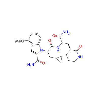 COc1cccc2c1cc(C(N)=O)n2C(CC1CC1)C(=O)NC(C[C@@H]1CCCNC1=O)C(N)=O